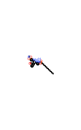 CCCCCCCCCCCCCCCCS(=O)(=O)Nc1cccc2c(-c3cc4ccccc4c(C=O)c3-c3c[nH]c4cc(S(=O)(=O)N(C)C)ccc34)c[nH]c12